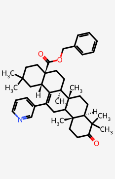 CC1(C)CC[C@]2(C(=O)OCc3ccccc3)CC[C@]3(C)C(=C(c4cccnc4)CC4[C@@]5(C)CCC(=O)C(C)(C)[C@@H]5CC[C@]43C)[C@@H]2C1